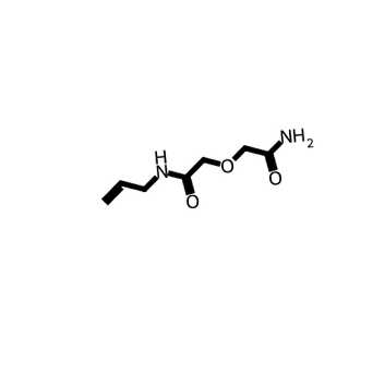 C=CCNC(=O)COCC(N)=O